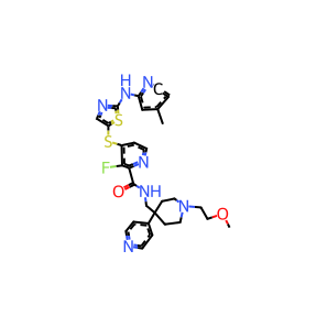 COCCN1CCC(CNC(=O)c2nccc(Sc3cnc(Nc4cc(C)ccn4)s3)c2F)(c2ccncc2)CC1